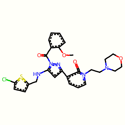 COc1ccccc1C(=O)n1nc(-c2cccn(CCN3CCOCC3)c2=O)cc1NCc1ccc(Cl)s1